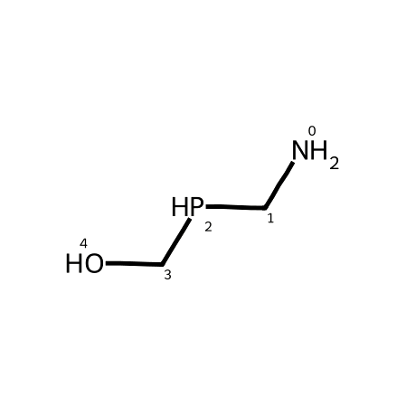 NCPCO